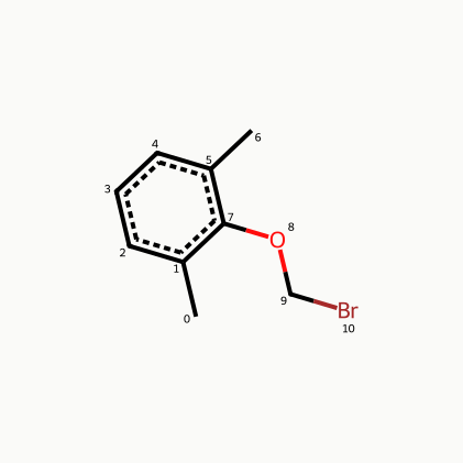 Cc1cccc(C)c1OCBr